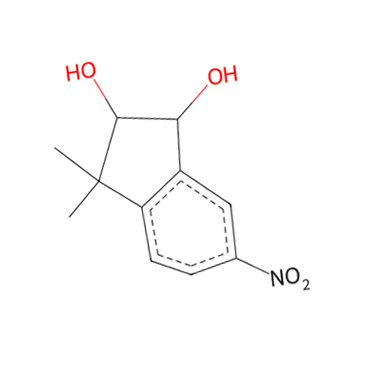 CC1(C)c2ccc([N+](=O)[O-])cc2C(O)C1O